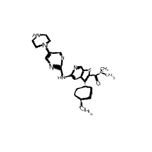 CN(C)C(=O)c1sc2cnc(Nc3ncc(N4CCNCC4)cn3)cc2c1[C@H]1CC[C@H](C)CC1